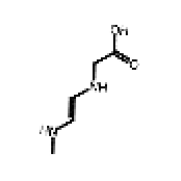 CNC=CNCC(=O)O